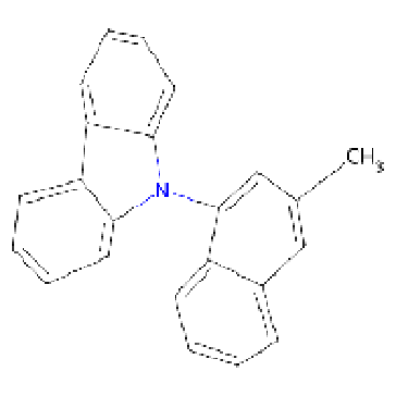 Cc1cc(-n2c3ccccc3c3ccccc32)c2ccccc2c1